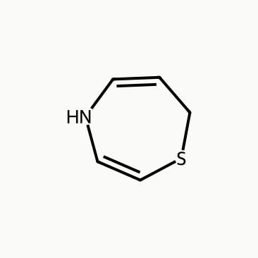 C1=CNC=CSC1